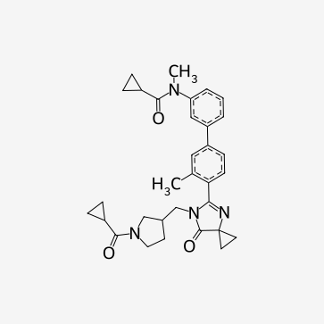 Cc1cc(-c2cccc(N(C)C(=O)C3CC3)c2)ccc1C1=NC2(CC2)C(=O)N1CC1CCN(C(=O)C2CC2)C1